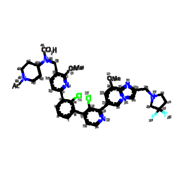 COc1nc(-c2cccc(-c3ccnc(-c4cc(OC)c5nc(CN6CCC(F)(F)C6)cn5c4)c3Cl)c2Cl)ccc1CN(C(=O)O)C1CCN(C(C)=O)CC1